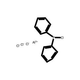 ClP(c1ccccc1)c1ccccc1.[Al+3].[Cl-].[Cl-].[Cl-]